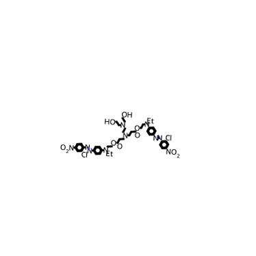 CCN(CCOC(=O)CCN(CCC(=O)OCCN(CC)c1ccc(/N=N/c2ccc([N+](=O)[O-])cc2Cl)cc1)CCN(CCO)CCO)c1ccc(/N=N/c2ccc([N+](=O)[O-])cc2Cl)cc1